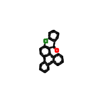 O=C(c1ccccc1)c1c(Cl)ccc2c3ccccc3c3ccccc3c12